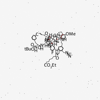 C#CCn1cc(C[C@@H]2NC(=O)[C@@H](NC(=O)OC(C)(C)C)Cc3cccc(c3)C/C=C/C3O[C@H]4CCN(C2=O)[C@@]34C(=O)N[C@H](C(=O)N[C@@H](Cc2ccc(OC)cc2)C(=O)N2CCC[C@@]2(C)C(=O)NCCc2ccc(CNC(=O)CCCCCC(=O)OCC)c(CN=[N+]=[N-])c2)[C@@H](C)O)c2cc(F)ccc21